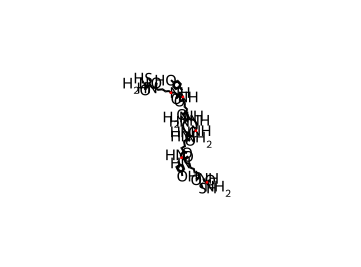 NC(=O)[C@H](CS)NC(=O)CCCCCNC(=O)[C@H](Cc1ccc(O)cc1)NC(=O)CCCC(=O)N[C@@]1(N)CNCCNC[C@@](N)(NC(=O)CCCC(=O)N[C@@H](Cc2ccc(O)cc2)C(=O)NCCCCCC(=O)N[C@@H](CS)C(N)=O)NCCN1